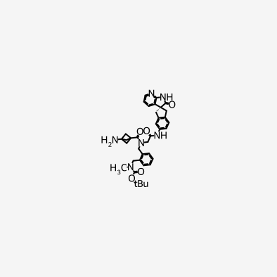 CN(Cc1ccccc1CN(CC(=O)Nc1ccc2c(c1)C[C@@]1(C2)C(=O)Nc2ncccc21)C(=O)C12CC(N)(C1)C2)C(=O)OC(C)(C)C